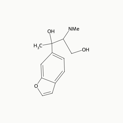 CNC(CO)C(C)(O)c1ccc2ccoc2c1